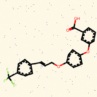 O=C(O)c1cccc(Oc2ccc(OC/C=C/c3ccc(C(F)(F)F)cc3)cc2)c1